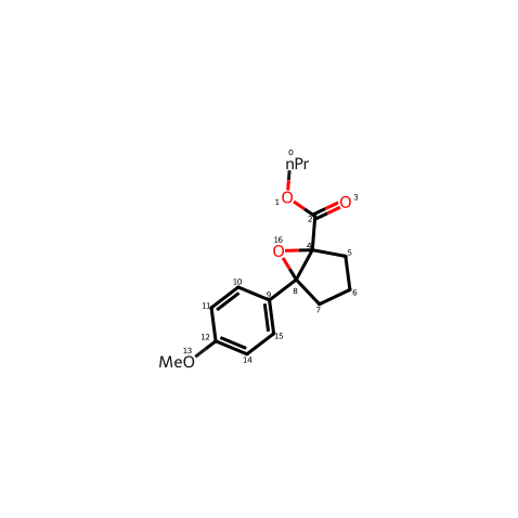 CCCOC(=O)C12CCCC1(c1ccc(OC)cc1)O2